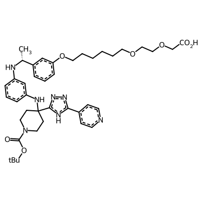 C[C@@H](Nc1cccc(NC2(c3nnc(-c4ccncc4)[nH]3)CCN(C(=O)OC(C)(C)C)CC2)c1)c1cccc(OCCCCCCOCCOCC(=O)O)c1